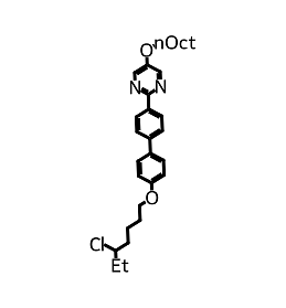 CCCCCCCCOc1cnc(-c2ccc(-c3ccc(OCCCCC(Cl)CC)cc3)cc2)nc1